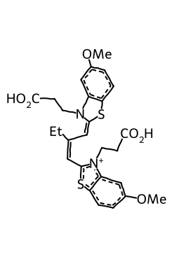 CCC(=Cc1sc2ccc(OC)cc2[n+]1CCC(=O)O)C=C1Sc2ccc(OC)cc2N1CCC(=O)O